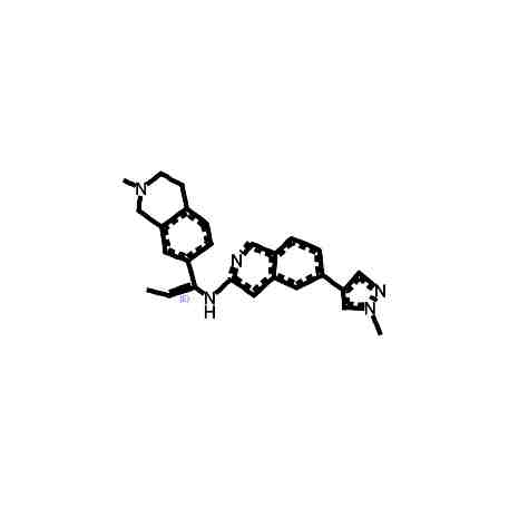 C/C=C(/Nc1cc2cc(-c3cnn(C)c3)ccc2cn1)c1ccc2c(c1)CN(C)CC2